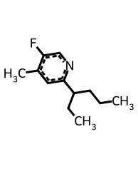 CCCC(CC)c1cc(C)c(F)cn1